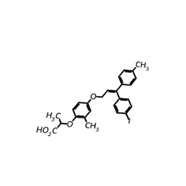 Cc1ccc(C(=CCOc2ccc(OC(C)C(=O)O)c(C)c2)c2ccc(I)cc2)cc1